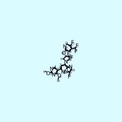 COc1ncc(-c2cc(N3C[C@H](Oc4cc(C(F)F)c(F)cn4)C(F)(F)C3)c3ncc(F)n3n2)c(OC)n1